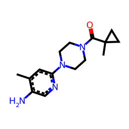 Cc1cc(N2CCN(C(=O)C3(C)CC3)CC2)ncc1N